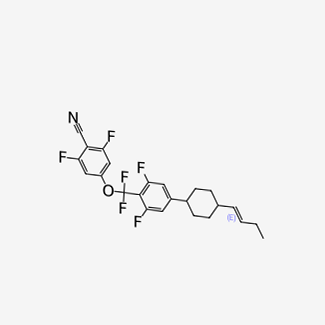 CC/C=C/C1CCC(c2cc(F)c(C(F)(F)Oc3cc(F)c(C#N)c(F)c3)c(F)c2)CC1